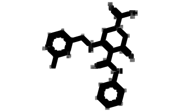 Cc1nccc(CNC2=C(C(=S)Nc3ccccc3)C(=O)CN(C(=O)O)C2)n1